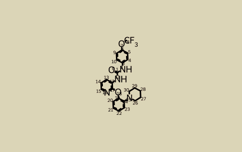 O=C(Nc1ccc(OC(F)(F)F)cc1)Nc1cccnc1Oc1ccccc1N1CCCCC1